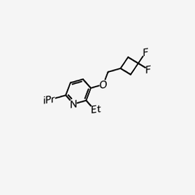 CCc1nc(C(C)C)ccc1OCC1CC(F)(F)C1